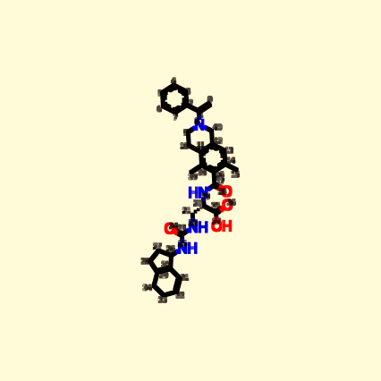 C=C(c1ccccc1)N1CCc2c(cc(C)c(C(=O)N[C@@H](CNC(=O)NC3CCC4=C3C=CCC4)C(=O)O)c2C)C1